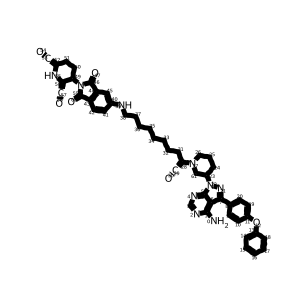 Nc1ncnc2c1c(-c1ccc(Oc3ccccc3)cc1)nn2C1CCCN(C(=C=O)CCCCCCCCNc2ccc3c(c2)C(=O)N(C2CCC(=C=O)NC2=C=O)C3=O)C1